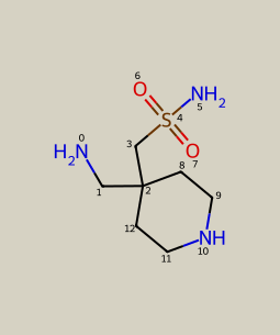 NCC1(CS(N)(=O)=O)CCNCC1